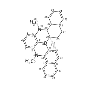 CN1c2cccc3c2B(c2ccc4ccccc4c21)[C@@H]1CCC2C=CC=CC2C1N3C